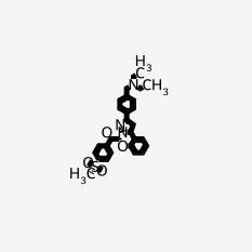 CCN(CC)Cc1ccc(C2=NN3C(C(=O)c4ccc(S(C)(=O)=O)cc4)Oc4ccccc4C3C2)cc1